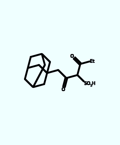 CCC(=O)C(C(=O)CC12CC3CC(CC(C3)C1)C2)S(=O)(=O)O